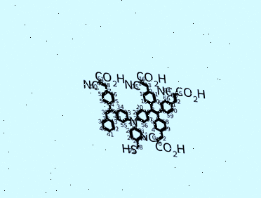 N#C/C(=C\c1ccc(C(=C(c2ccc(/C=C(\C#N)C(=O)O)cc2)c2ccc(N(c3ccc(CS)cc3)c3ccc(/C(=C\c4ccccc4)c4ccc(/C=C(\C#N)C(=O)O)cc4)cc3)cc2)c2ccc(/C=C(\C#N)C(=O)O)cc2)cc1)C(=O)O